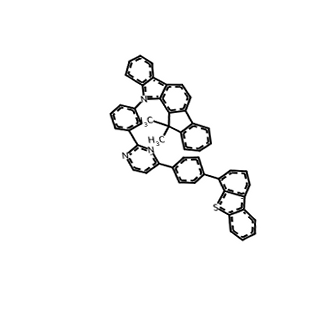 CC1(C)c2ccccc2-c2ccc3c4ccccc4n(-c4cccc(-c5nccc(-c6ccc(-c7cccc8c7sc7ccccc78)cc6)n5)c4)c3c21